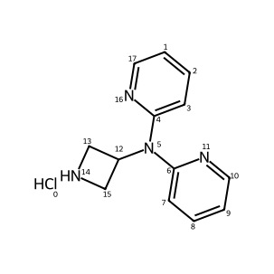 Cl.c1ccc(N(c2ccccn2)C2CNC2)nc1